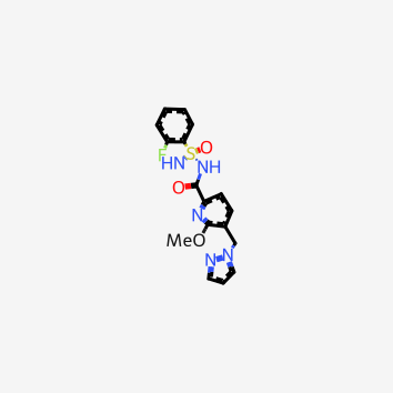 COc1nc(C(=O)N[S@@](=N)(=O)c2ccccc2F)ccc1Cn1cccn1